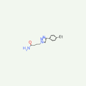 CCc1ccc(-c2cn(CCCC(N)=O)nn2)cc1